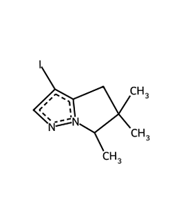 CC1n2ncc(I)c2CC1(C)C